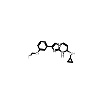 FCOc1cccc(-c2cn3c(n2)NC(NC2CC2)C=C3)c1